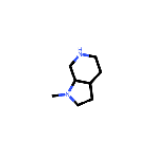 CN1CCC2CCNCC21